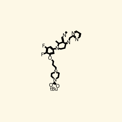 C=N/C=C1\C(=N/Cc2ncccn2)CCN(c2cc(F)c(F)c(OCCCN3CCN(C(=O)OC(C)(C)C)CC3)c2)C1C